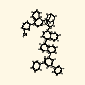 N#Cc1cccc(-c2ccc(C34CC5CC(C3)CC(c3ccc(-c6cccc7c(-c8nc(-c9ccccc9)nc(-c9ccccc9)n8)cccc67)c6ccccc36)(C5)C4)c3ccccc23)c1